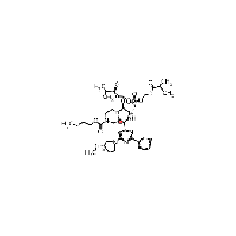 CCCCOC(=O)N1CCN(C(=O)[C@H](CP(=O)(OCOC(=O)C(C)C)OCOC(=O)C(C)C)NC(=O)c2cc(N3CC[C@H](OC)C3)nc(-c3ccccc3)n2)CC1